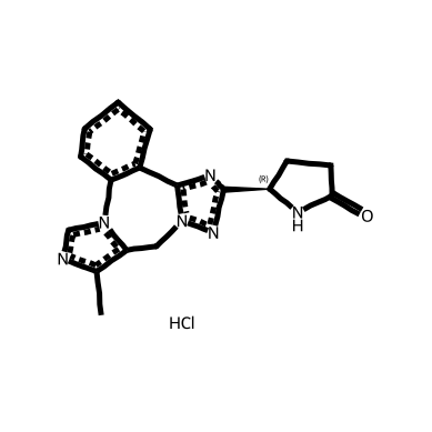 Cc1ncn2c1Cn1nc([C@H]3CCC(=O)N3)nc1-c1ccccc1-2.Cl